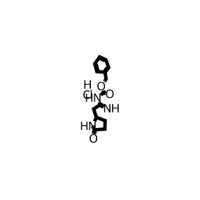 Cl.N=C(CC1CCC(=O)N1)NC(=O)OCc1ccccc1